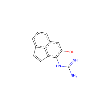 N=C(N)Nc1c(O)cc2cccc3c2c1C=C3